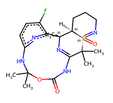 CC1(C)Nc2ccc(F)c(n2)[C@@]2(C)N=C(NC(=O)O1)C(C)(C)[S@@]1(=O)=NCCC[C@H]21